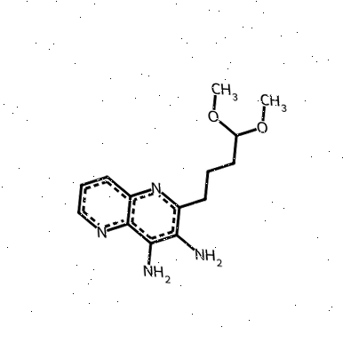 COC(CCCc1nc2cccnc2c(N)c1N)OC